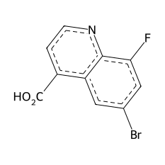 O=C(O)c1ccnc2c(F)cc(Br)cc12